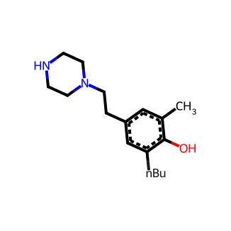 CCCCc1cc(CCN2CCNCC2)cc(C)c1O